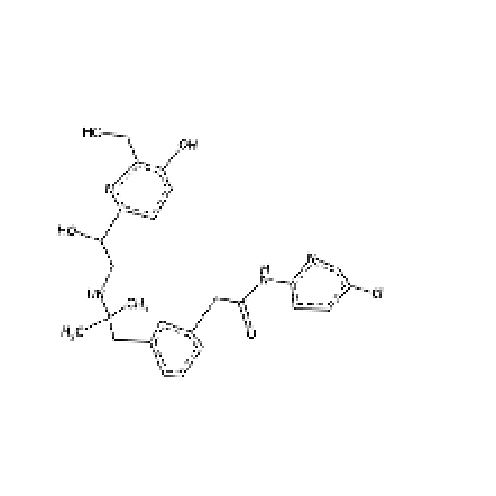 CC(C)(Cc1cccc(CC(=O)Nc2ccc(Cl)cn2)c1)NCC(O)c1ccc(O)c(CO)n1